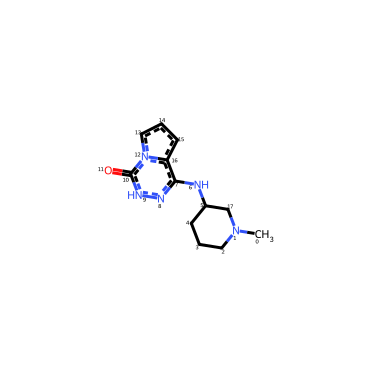 CN1CCCC(Nc2n[nH]c(=O)n3cccc23)C1